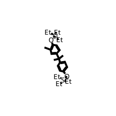 CC[Si](CC)(CC)Oc1ccc(C(C)(C)c2ccc(O[Si](CC)(CC)CC)c(C)c2)cc1